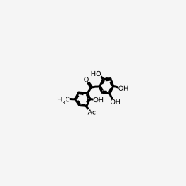 CC(=O)c1cc(C)cc(C(=O)c2cc(O)c(O)cc2O)c1O